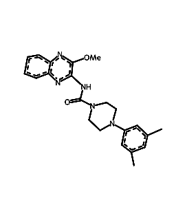 COc1nc2ccccc2nc1NC(=O)N1CCN(c2cc(C)cc(C)c2)CC1